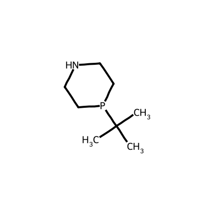 CC(C)(C)P1CCNCC1